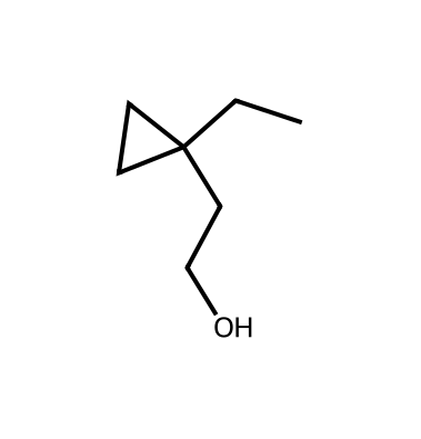 CCC1(CCO)CC1